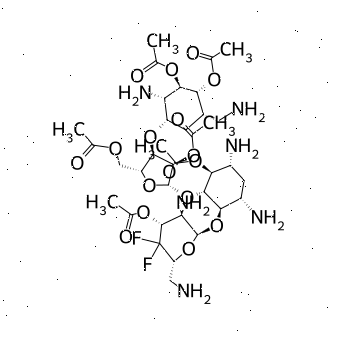 CC(=O)OC[C@H]1O[C@@H](O[C@@H]2[C@@H](OC(C)=O)[C@H](N)C[C@H](N)[C@H]2O[C@H]2O[C@H](CN)C(F)(F)[C@H](OC(C)=O)[C@H]2N)[C@H](OC(C)=O)[C@@H]1O[C@H]1C[C@@H](CN)[C@@H](OC(C)=O)[C@H](OC(C)=O)[C@H]1N